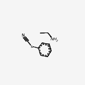 CCN.N#CSc1ccccc1